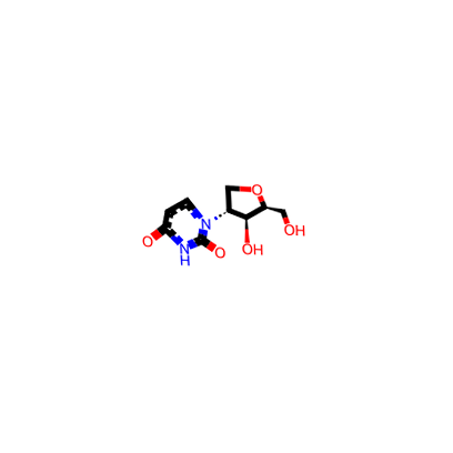 O=c1ccn([C@@H]2CO[C@@H](CO)[C@H]2O)c(=O)[nH]1